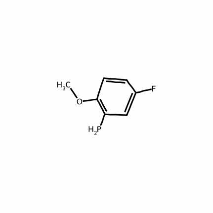 COc1ccc(F)cc1P